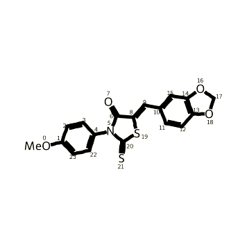 COc1ccc(N2C(=O)/C(=C/c3ccc4c(c3)OCO4)SC2=S)cc1